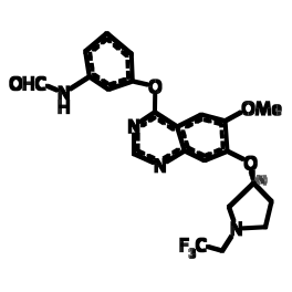 COc1cc2c(Oc3cccc(NC=O)c3)ncnc2cc1O[C@H]1CCN(CC(F)(F)F)C1